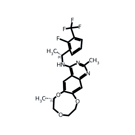 Cc1nc(N[C@H](C)c2cccc(C(F)(F)F)c2F)c2cc3c(cc2n1)OCCOC[C@H](C)O3